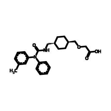 Cc1cccc(N(C(=O)NC[C@H]2CC[C@H](COCC(=O)O)CC2)c2ccccc2)c1